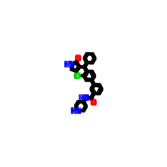 O=C(NC1CCNCC1)c1cccc(-c2ccc(C(C3CCCCC3)C3CCNC3=O)c(Cl)c2)c1